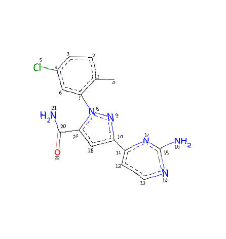 Cc1ccc(Cl)cc1-n1nc(-c2ccnc(N)n2)cc1C(N)=O